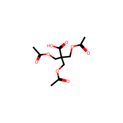 CC(=O)OCC(COC(C)=O)(COC(C)=O)C(=O)O